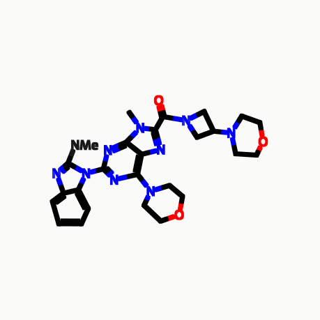 CNc1nc2ccccc2n1-c1nc(N2CCOCC2)c2nc(C(=O)N3CC(N4CCOCC4)C3)n(C)c2n1